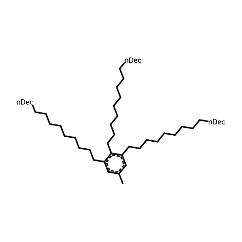 [CH2]c1cc(CCCCCCCCCCCCCCCCCCC)c(CCCCCCCCCCCCCCCCCCC)c(CCCCCCCCCCCCCCCCCCC)c1